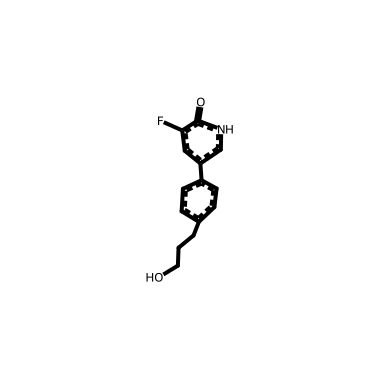 O=c1[nH]cc(-c2ccc(CCCO)cc2)cc1F